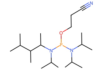 CC(C)C(C)C(C)N(C(C)C)P(OCCC#N)N(C(C)C)C(C)C